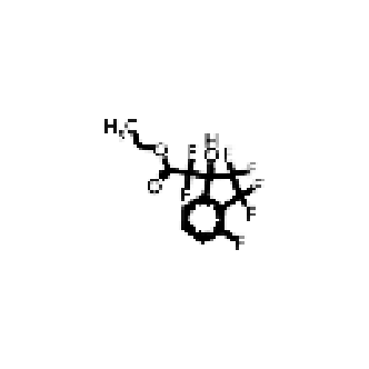 CCOC(=O)C(F)(F)C1(O)c2cccc(F)c2C(F)(F)C1(F)F